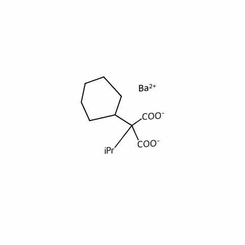 CC(C)C(C(=O)[O-])(C(=O)[O-])C1CCCCC1.[Ba+2]